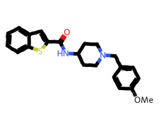 COc1ccc(CN2CCC(NC(=O)c3cc4ccccc4s3)CC2)cc1